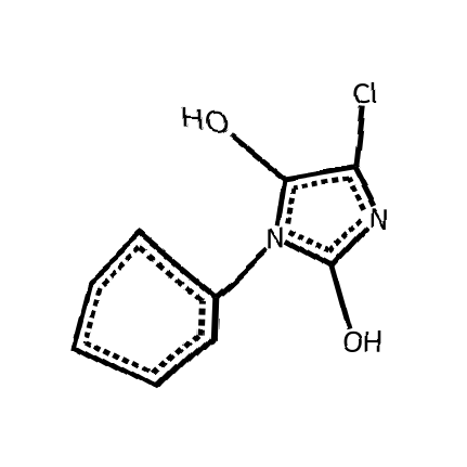 Oc1nc(Cl)c(O)n1-c1ccccc1